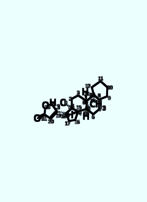 C[C@]12CC[C@H]3[C@@H](CCC4CCCC[C@@]43C)[C@@H]1CC[C@@H]2C1=CC(=O)OC1